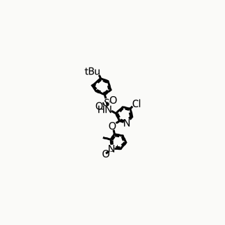 Cc1c(Oc2ncc(Cl)cc2NS(=O)(=O)c2ccc(C(C)(C)C)cc2)ccc[n+]1[O-]